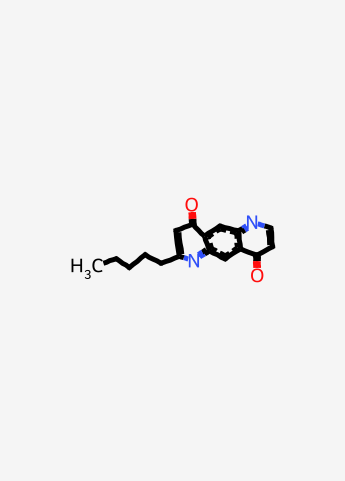 CCCCCC1=CC(=O)c2cc3c(cc2=N1)C(=O)C=CN=3